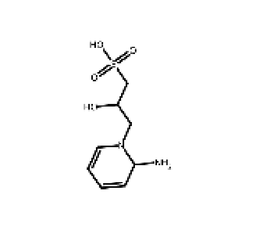 NC1C=CC=CN1CC(O)CS(=O)(=O)O